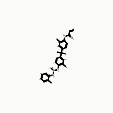 C=CC(=O)Oc1ccc(C(C)(C)c2ccc(OP(Cl)Oc3ccccc3C)c(C)c2)cc1C